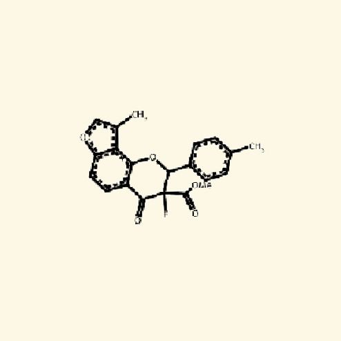 COC(=O)C1(F)C(=O)c2ccc3occ(C)c3c2OC1c1ccc(C)cc1